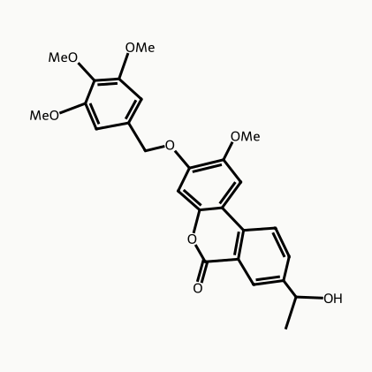 COc1cc2c(cc1OCc1cc(OC)c(OC)c(OC)c1)oc(=O)c1cc(C(C)O)ccc12